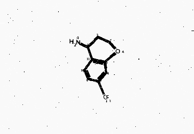 NC1CCOc2cc(C(F)(F)F)ccc21